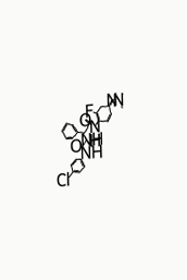 CN(C)N=C1C=CC(NC(=O)C(NC(=O)Nc2ccc(Cl)cc2)c2ccccc2)=C(F)C1